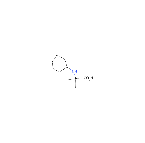 CC(C)(NC1CCCCC1)C(=O)O